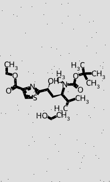 CCO.CCOC(=O)c1csc([C@H](O)C[C@H](C(C)C)N(C)C(=O)OC(C)(C)C)n1